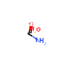 NC=O.O